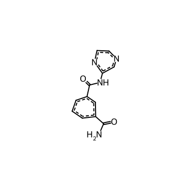 NC(=O)c1cccc(C(=O)Nc2cnccn2)c1